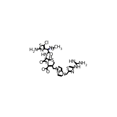 CO/N=C(\C(=O)N[C@@H]1C(=O)N2C(C(=O)[O-])=C(C[n+]3ccc4n(Cc5nc(NC(=N)N)cs5)ccn43)CS[C@H]12)c1nc(N)sc1Cl